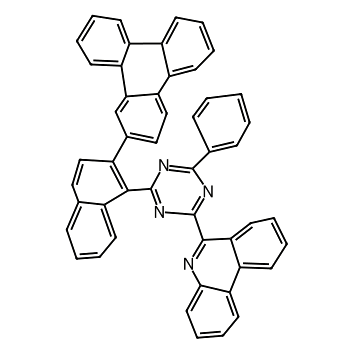 c1ccc(-c2nc(-c3c(-c4ccc5c6ccccc6c6ccccc6c5c4)ccc4ccccc34)nc(-c3nc4ccccc4c4ccccc34)n2)cc1